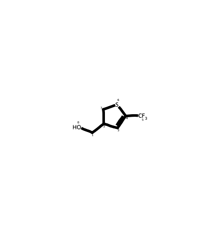 OCC1C=C(C(F)(F)F)SC1